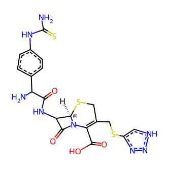 NC(=S)Nc1ccc(C(N)C(=O)NC2C(=O)N3C(C(=O)O)=C(CSc4c[nH]nn4)CS[C@H]23)cc1